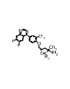 C[C@H](COc1ccc(-c2ncnc3cc(F)c(F)cc23)cc1C(F)(F)F)CC(C)(C)N